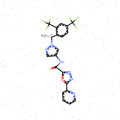 C[C@H](c1ccc(C(F)(F)F)cc1C(F)(F)F)n1cc(NC(=O)c2nnc(-c3ccccn3)o2)cn1